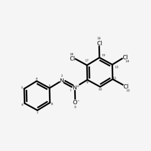 [O-][N+](=Nc1ccccc1)c1cc(Cl)c(Cl)c(Cl)c1Cl